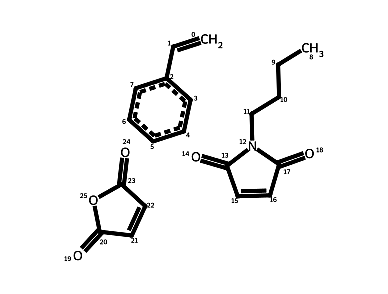 C=Cc1ccccc1.CCCCN1C(=O)C=CC1=O.O=C1C=CC(=O)O1